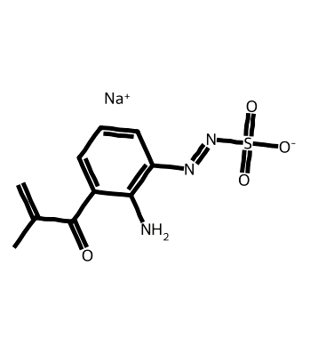 C=C(C)C(=O)c1cccc(N=NS(=O)(=O)[O-])c1N.[Na+]